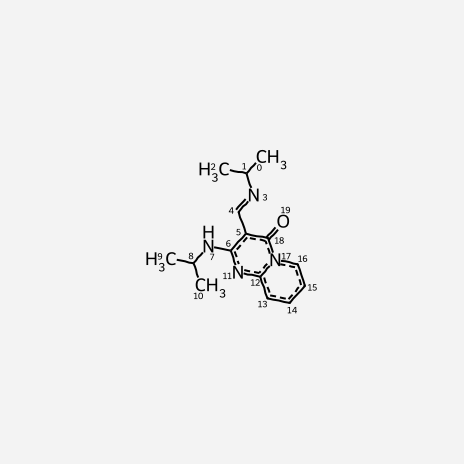 CC(C)N=Cc1c(NC(C)C)nc2ccccn2c1=O